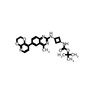 Cc1nc(N[C@H]2C[C@@H](NC(=O)OC(C)(C)C)C2)nc2ccc(-c3ccnc4c3OCCO4)cc12